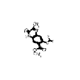 COC(=O)c1cc2[nH]c(=O)c(C)nc2cc1OC(F)F